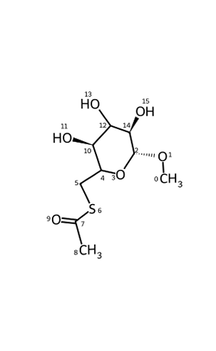 CO[C@@H]1OC(CSC(C)=O)[C@@H](O)C(O)[C@H]1O